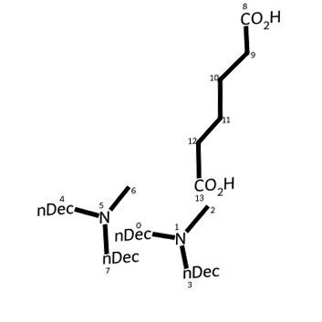 CCCCCCCCCCN(C)CCCCCCCCCC.CCCCCCCCCCN(C)CCCCCCCCCC.O=C(O)CCCCC(=O)O